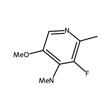 CNc1c(OC)cnc(C)c1F